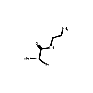 CCC[C@@H](C(=O)NCCN)C(C)C